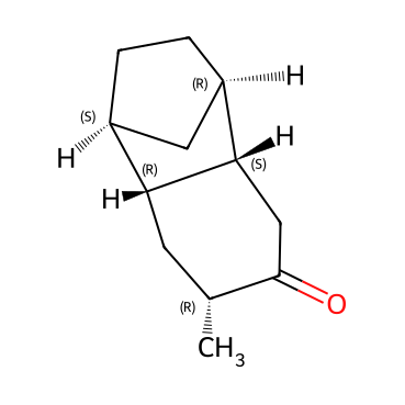 C[C@@H]1C[C@@H]2[C@H]3CC[C@H](C3)[C@@H]2CC1=O